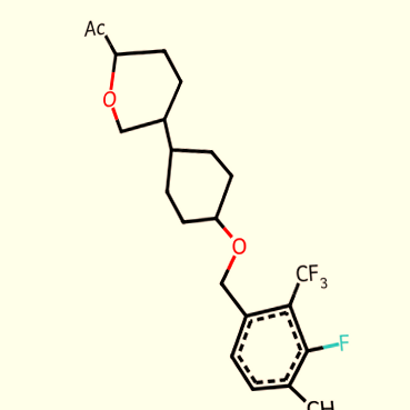 CC(=O)C1CCC(C2CCC(OCc3ccc(C)c(F)c3C(F)(F)F)CC2)CO1